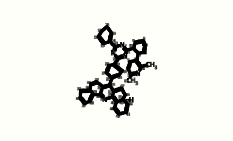 Cc1ccc(C2C=C=C=CC2c2nc(C3=CCCC=C3)nc(-c3ccc(-c4c5c(nc6c4ccc4ccccc46)=C4C=CC=C[C@@H]4CC=5)cc3)n2)c(C)n1